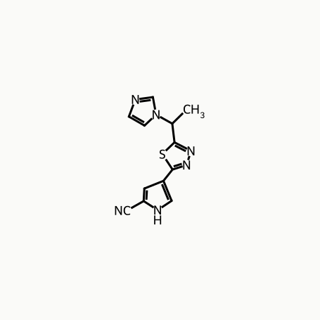 CC(c1nnc(-c2c[nH]c(C#N)c2)s1)n1ccnc1